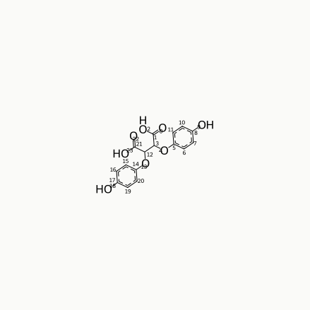 O=C(O)C(Oc1ccc(O)cc1)C(Oc1ccc(O)cc1)C(=O)O